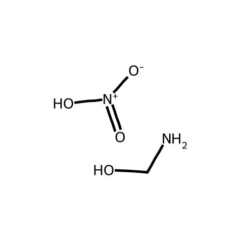 NCO.O=[N+]([O-])O